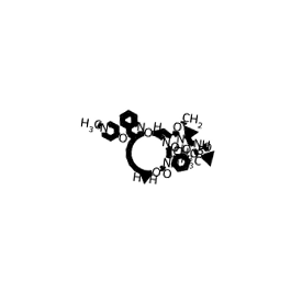 C=C[C@@H]1C[C@]1(NC(=O)[C@@H]1C[C@@H]2CN1C(=O)[C@H](C1(C)CCCCC1)NC(=O)O[C@@H]1C[C@H]1CCCCCc1c(nc3ccccc3c1OC1CCN(C)CC1)O2)C(=O)NS(=O)(=O)C1(C)CC1